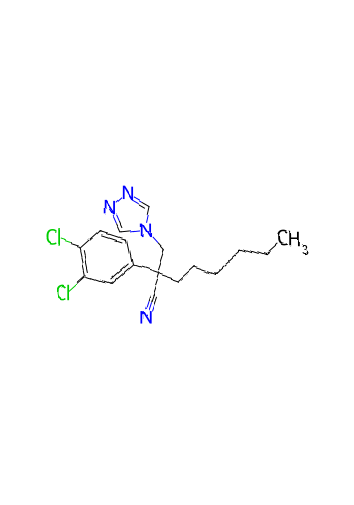 CCCCCCC(C#N)(Cn1cnnc1)c1ccc(Cl)c(Cl)c1